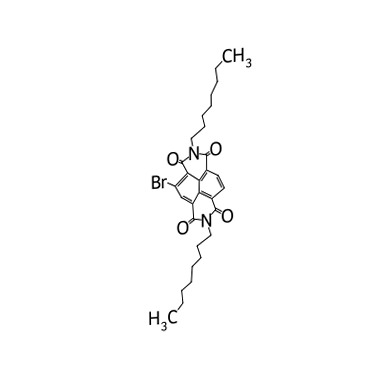 CCCCCCCCN1C(=O)c2ccc3c4c(c(Br)cc(c24)C1=O)C(=O)N(CCCCCCCC)C3=O